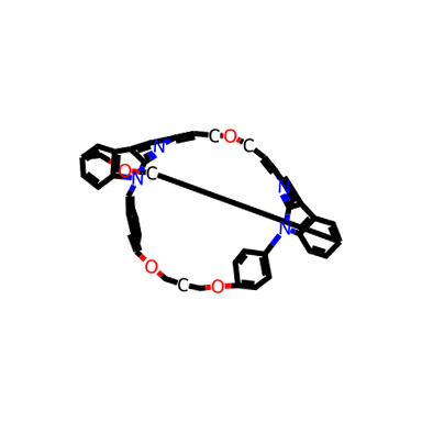 c1cc2c3cc1COCc1ccc4c(c1)c1cc5cnc1n4-c1ccc(cc1)OCCCOc1ccc(cc1)-n2c1ncc(cc31)COC5